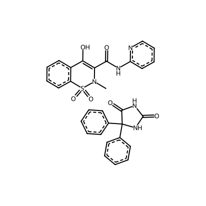 CN1C(C(=O)Nc2ccccn2)=C(O)c2ccccc2S1(=O)=O.O=C1NC(=O)C(c2ccccc2)(c2ccccc2)N1